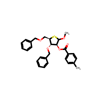 COC1S[C@H](COCc2ccccc2)[C@@H](OCc2ccccc2)[C@@H]1OC(=O)c1ccc(C)cc1